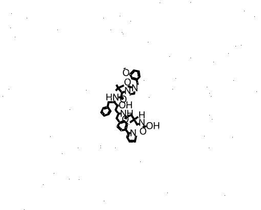 COc1cccc(CN2CCN(C(C(=O)NC(Cc3ccccc3)C(O)CC(Cc3ccc(-c4ccccn4)cc3)NC(=O)CC(C)(C)CNC(=O)O)C(C)(C)C)C2=O)c1